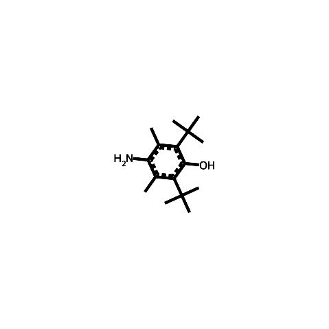 Cc1c(N)c(C)c(C(C)(C)C)c(O)c1C(C)(C)C